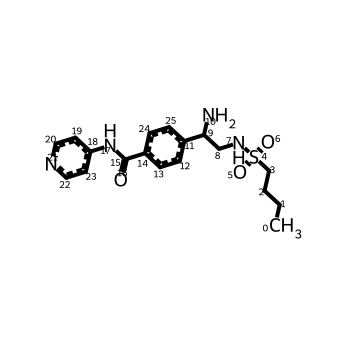 CCCCS(=O)(=O)NCC(N)c1ccc(C(=O)Nc2ccncc2)cc1